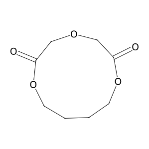 O=C1COCC(=O)OCCCCO1